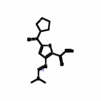 COC(=O)c1sc(C(=O)C2CCCC2)cc1/N=C/N(C)C